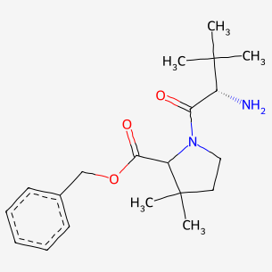 CC1(C)CCN(C(=O)[C@@H](N)C(C)(C)C)C1C(=O)OCc1ccccc1